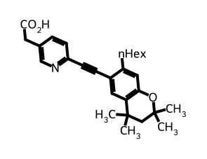 CCCCCCc1cc2c(cc1C#Cc1ccc(CC(=O)O)cn1)C(C)(C)CC(C)(C)O2